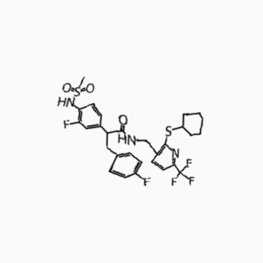 CS(=O)(=O)Nc1ccc(C(Cc2ccc(F)cc2)C(=O)NCc2ccc(C(F)(F)F)nc2SC2CCCCC2)cc1F